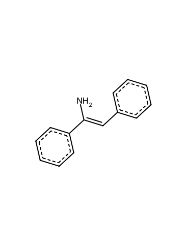 NC(=Cc1ccccc1)c1ccccc1